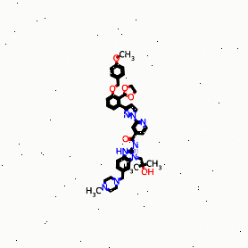 COc1ccc(COc2cccc(-c3ccn(-c4cc(C(=O)/N=c5\[nH]c6ccc(CN7CCN(C)CC7)cc6n5CC(C)(C)O)ccn4)n3)c2C2OCCO2)cc1